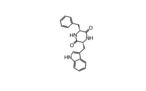 O=C1N[C@@H](Cc2c[nH]c3ccccc23)C(=O)N[C@H]1Cc1ccccc1